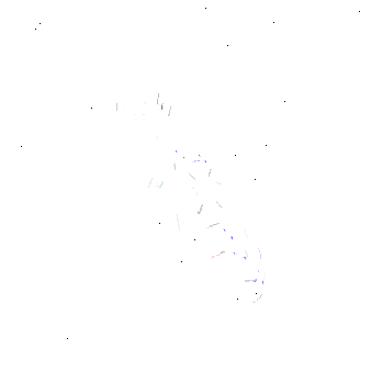 C[Si](C)(C)CCOCn1cc(Br)c2c(Oc3c(F)cc(NC(=O)NCc4nccs4)cc3F)ccnc21